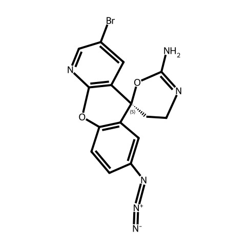 [N-]=[N+]=Nc1ccc2c(c1)[C@@]1(CCN=C(N)O1)c1cc(Br)cnc1O2